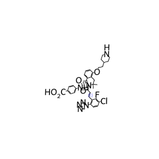 CC1(C)Cc2c(OCCC3CCNCC3)cccc2[C@@H](C(=O)Nc2ccc(C(=O)O)cc2)N1C(=O)/C=C/c1c(-n2cnnn2)ccc(Cl)c1F